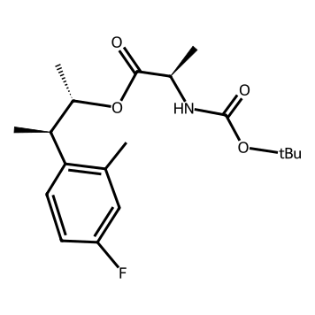 Cc1cc(F)ccc1[C@@H](C)[C@H](C)OC(=O)[C@@H](C)NC(=O)OC(C)(C)C